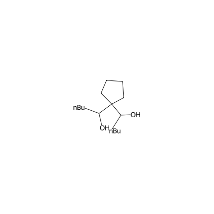 CCCCC(O)C1(C(O)CCCC)CCCC1